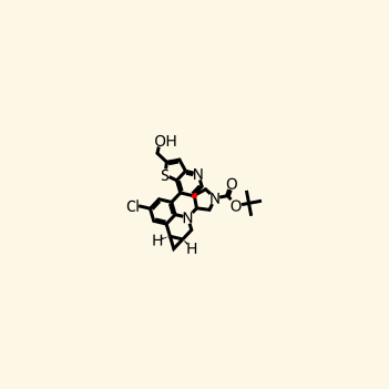 CC(C)(C)OC(=O)N1CCC(N2C[C@H]3C[C@H]3c3cc(Cl)cc(-c4ccnc5cc(CO)sc45)c32)C1